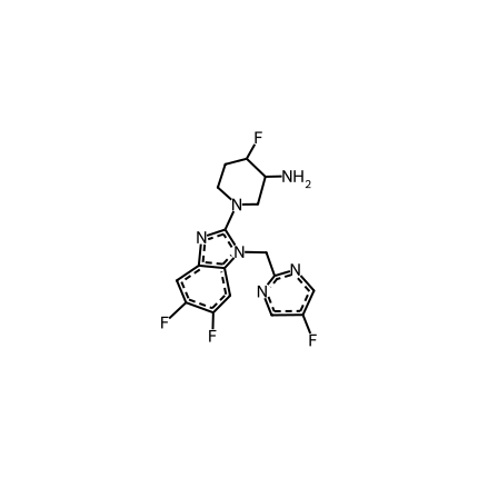 NC1CN(c2nc3cc(F)c(F)cc3n2Cc2ncc(F)cn2)CCC1F